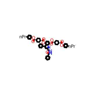 CCCc1ccc(OC(=O)[C@H]2CC[C@H](C(=O)Oc3ccc(OC(=O)[C@H]4CC[C@H](C(=O)Oc5ccc(CCC)cc5)CC4)c4c(-c5ccccc5)cc(-c5nnc(-c6ccccc6)o5)nc34)CC2)cc1